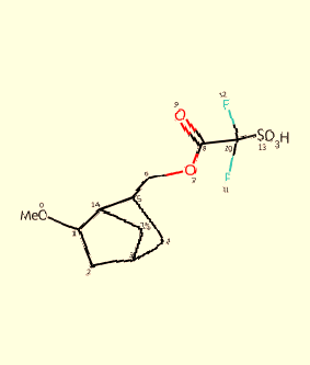 COC1CC2CC(COC(=O)C(F)(F)S(=O)(=O)O)C1C2